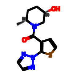 C[C@@H]1CC[C@H](O)CN1C(=O)c1ccsc1-n1nccn1